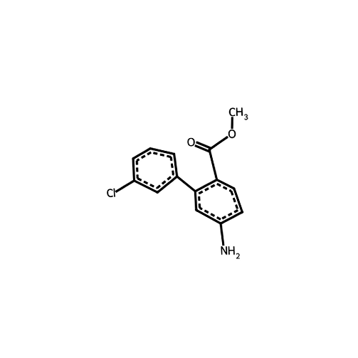 COC(=O)c1ccc(N)cc1-c1cccc(Cl)c1